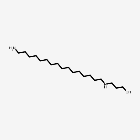 NCCCCCCCCCCCCCCCCNCCCO